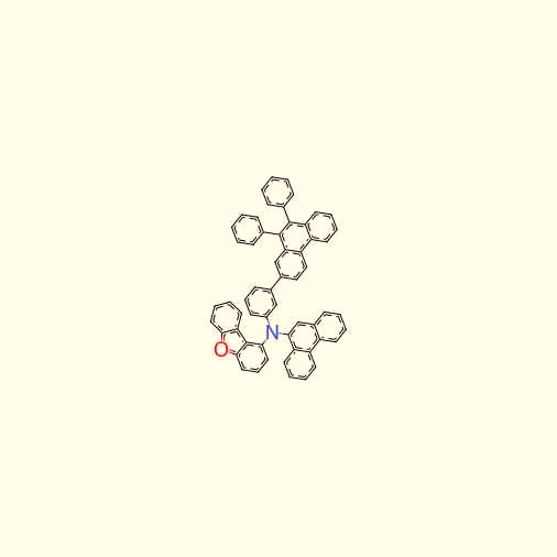 c1ccc(-c2c(-c3ccccc3)c3cc(-c4cccc(N(c5cc6ccccc6c6ccccc56)c5cccc6oc7ccccc7c56)c4)ccc3c3ccccc23)cc1